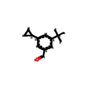 CC(C)(C)c1cc(C=O)cc(C2CC2)c1